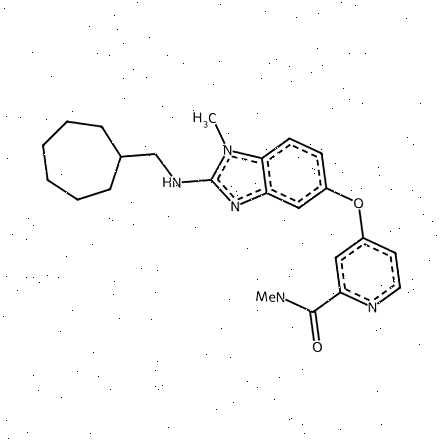 CNC(=O)c1cc(Oc2ccc3c(c2)nc(NCC2CCCCCC2)n3C)ccn1